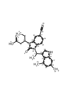 CCC(CC(=O)O)n1c(=O)n(C(C)c2c[nH]c3cc(C)cc(C)c23)c2ccc(C#N)cc21